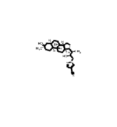 C[C@@H]([C@H](O)Cn1cc(C#N)cn1)[C@H]1CC[C@H]2[C@@H]3CC[C@@H]4C[C@](C)(O)CC[C@@H]4[C@H]3CC[C@]12C